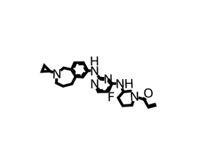 C=CC(=O)N1CCCC(Nc2nc(Nc3ccc4c(c3)CCCN(C3CC3)C4)ncc2F)C1